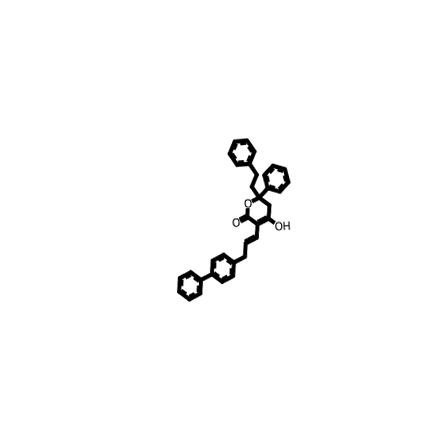 O=C1OC(CCc2ccccc2)(c2ccccc2)CC(O)=C1C=CCc1ccc(-c2ccccc2)cc1